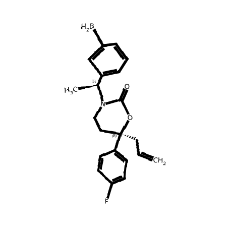 Bc1cccc([C@H](C)N2CC[C@](CC=C)(c3ccc(F)cc3)OC2=O)c1